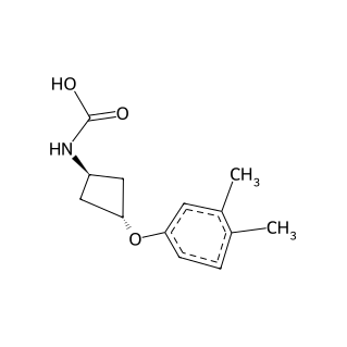 Cc1ccc(O[C@H]2C[C@H](NC(=O)O)C2)cc1C